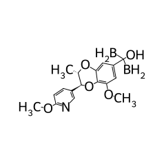 BC(B)(O)c1cc(OC)c2c(c1)O[C@@H](C)[C@H](c1ccc(OC)nc1)O2